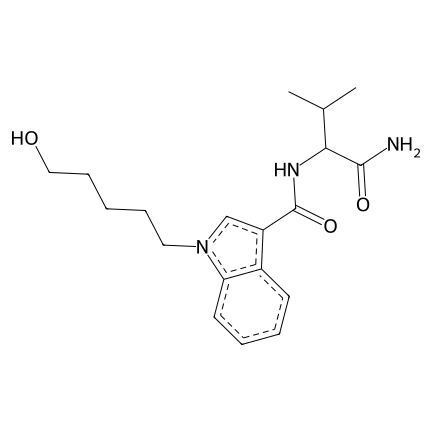 CC(C)C(NC(=O)c1cn(CCCCCO)c2ccccc12)C(N)=O